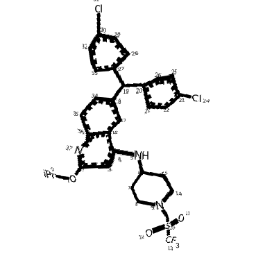 CC(C)Oc1cc(NC2CCN(S(=O)(=O)C(F)(F)F)CC2)c2cc(C(c3ccc(Cl)cc3)c3ccc(Cl)cc3)ccc2n1